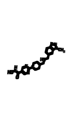 Cn1nnc2ccc(CNCC3CCN(c4ncc(C(=O)NO)cn4)CC3)cc21